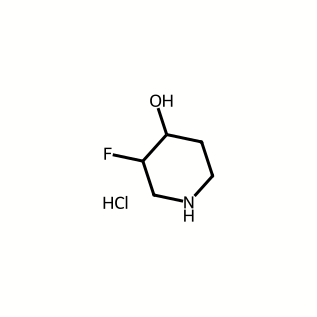 Cl.OC1CCNCC1F